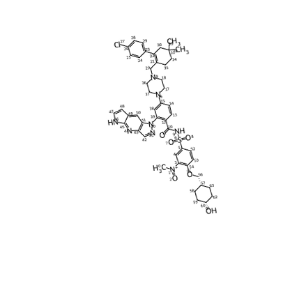 C[N+](=O)c1cc(S(=O)(=O)NC(=O)c2ccc(N3CCN(CC4=C(c5ccc(Cl)cc5)CC(C)(C)CC4)CC3)cc2-n2ncc3nc4[nH]ccc4cc32)ccc1OC[C@H]1CC[C@@H](O)CC1